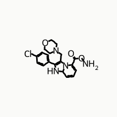 NOC(=O)C1=CC=CC2NC(c3ccc(Cl)cc3)=C(CN3CCOCC3)N12